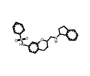 O=S(=O)(Nc1ccc2c(c1)OC(CNC1CCc3ccccc31)CC2)c1ccccc1